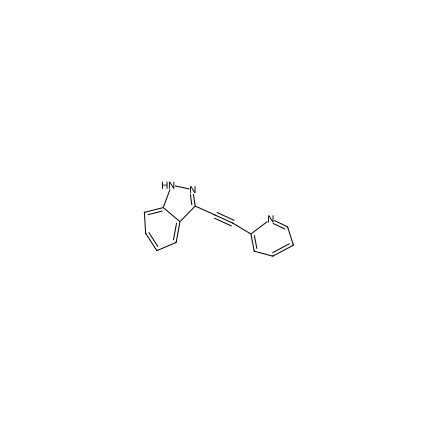 C(#Cc1n[nH]c2ccccc12)c1ccccn1